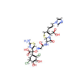 Nc1nc(C(ON=CC(=O)NC2C(=O)N3C(C(=O)O)=C(C=CCn4ccnc4)CSC23)(C(=O)O)c2cc(Cl)c(O)c(O)c2Cl)cs1